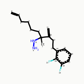 C=CCCCCC(CC)(NN)C(=C)CCc1cccc(F)c1F